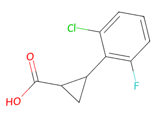 O=C(O)C1CC1c1c(F)cccc1Cl